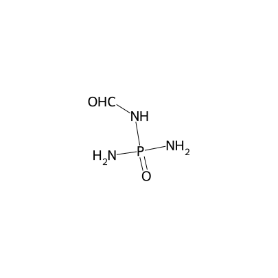 NP(N)(=O)NC=O